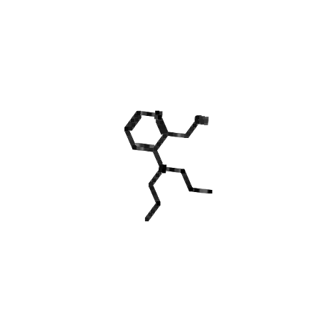 CCCN(CCC)c1cccnc1CO